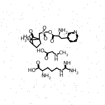 CC1(C)C2CCC1(CS(=O)(=O)OC(=O)[C@@H](N)Cc1cccnc1)C(=O)C2.CNCC(=O)O.N=C(N)NCCC[C@H](N)C(=O)O